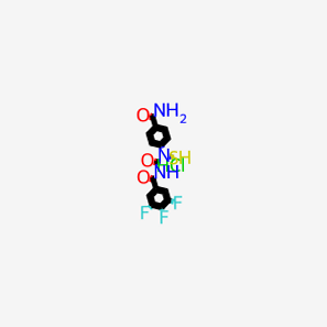 Cl.NC(=O)c1ccc(N(S)C(=O)NC(=O)c2cc(F)c(F)c(F)c2)cc1